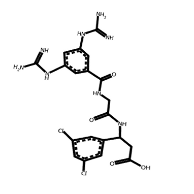 N=C(N)Nc1cc(NC(=N)N)cc(C(=O)NCC(=O)NC(CC(=O)O)c2cc(Cl)cc(Cl)c2)c1